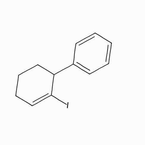 IC1=CCCCC1c1ccccc1